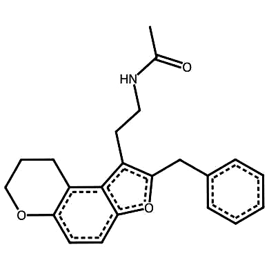 CC(=O)NCCc1c(Cc2ccccc2)oc2ccc3c(c12)CCCO3